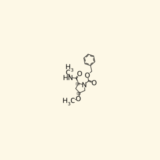 CNC(=O)[C@@H]1C[C@H](OC)CN1C(=O)OCc1ccccc1